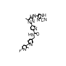 Cc1cc(Nc2c[nH]c(C#N)n2)nc(-c2ccc(C(=O)NCc3ccc(-c4ccc(F)nc4C)nc3)nc2)n1